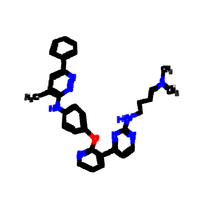 Cc1cc(-c2ccccc2)nnc1Nc1ccc(Oc2ncccc2-c2ccnc(NCCCCN(C)C)n2)cc1